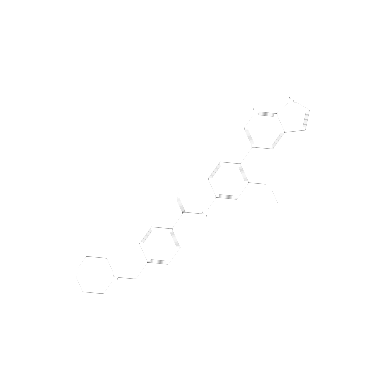 COc1cc(NC(=O)c2ccc(CN3CCOCC3)cc2)ccc1-c1cnc2[nH]ccc2c1